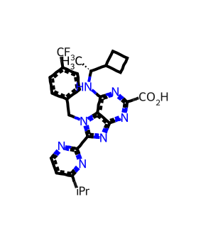 CC(C)c1ccnc(-c2nc3nc(C(=O)O)nc(N[C@H](C)C4CCC4)c3n2Cc2ccc(C(F)(F)F)cc2)n1